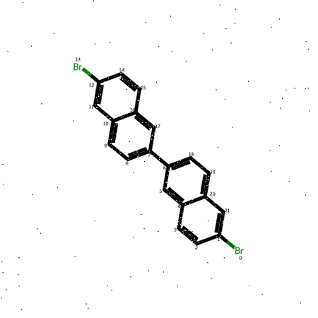 Brc1ccc2cc(-c3ccc4cc(Br)ccc4c3)ccc2c1